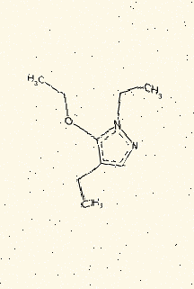 CCOc1c(CC)[c]nn1CC